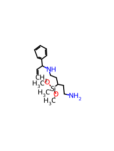 C=CC(NCCC(CCN)[Si](C)(OC)OC)c1ccccc1